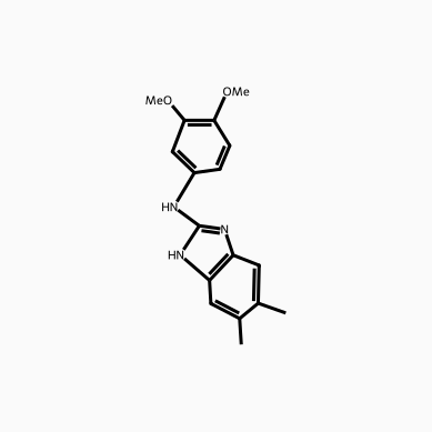 COc1ccc(Nc2nc3cc(C)c(C)cc3[nH]2)cc1OC